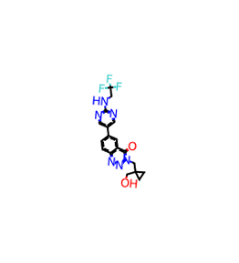 O=c1c2cc(-c3cnc(NCC(F)(F)F)nc3)ccc2nnn1CC1(CO)CC1